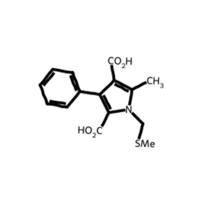 CSCn1c(C)c(C(=O)O)c(-c2ccccc2)c1C(=O)O